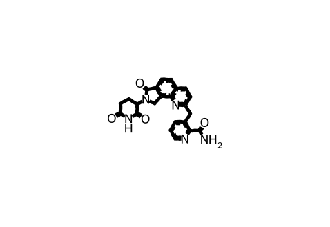 NC(=O)c1ncccc1Cc1ccc2ccc3c(c2n1)CN(C1CCC(=O)NC1=O)C3=O